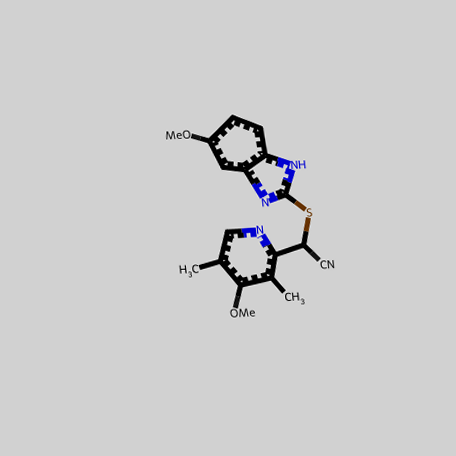 COc1ccc2[nH]c(SC(C#N)c3ncc(C)c(OC)c3C)nc2c1